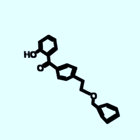 O=C(c1ccc(CCOCc2ccccc2)cc1)c1ccccc1O